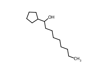 CCCCCCCCC(O)C1CCCC1